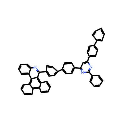 c1ccc(-c2ccc(-c3cc(-c4ccc(-c5ccc(-c6nc7ccccc7c7c8ccccc8c8ccccc8c67)cc5)cc4)nc(-c4ccccc4)n3)cc2)cc1